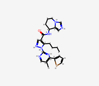 CCCCc1c(C(=O)NC2CCCn3cncc32)cnn1-c1ncc(C)c(-c2cccs2)n1